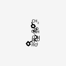 C=Cc1ccc(S(=O)(=O)NC[C@@H]2C[C@@H]3O[C@H](CO)[C@@H](OCc4ccccc4)[C@@H]3O2)cc1